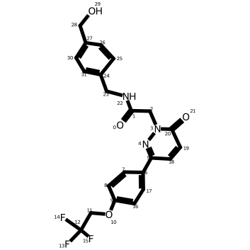 O=C(Cn1nc(-c2ccc(OCC(F)(F)F)cc2)ccc1=O)NCc1ccc(CO)cc1